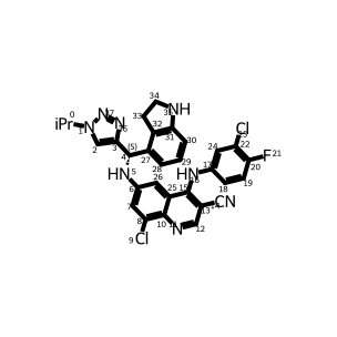 CC(C)n1cc([C@@H](Nc2cc(Cl)c3ncc(C#N)c(Nc4ccc(F)c(Cl)c4)c3c2)c2cccc3c2CCN3)nn1